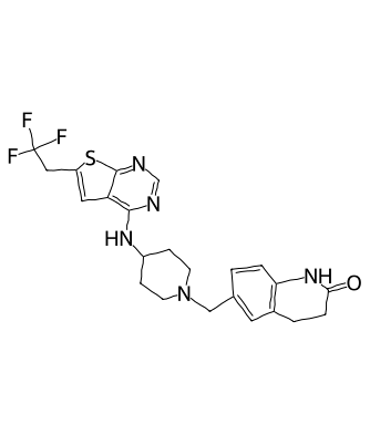 O=C1CCc2cc(CN3CCC(Nc4ncnc5sc(CC(F)(F)F)cc45)CC3)ccc2N1